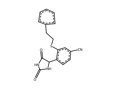 N#Cc1ccc(C2NC(=O)NC2=O)c(SCCc2ccccc2)c1